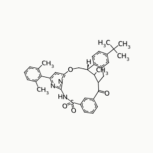 Cc1cccc(C)c1-c1cc2nc(n1)NS(=O)(=O)c1cccc(c1)C(=O)C1Cc3cc(C(C)(C)C)ccc3[C@@H](CO2)C1C